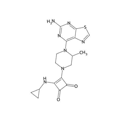 CC1CN(c2c(NC3CC3)c(=O)c2=O)CCN1c1nc(N)nc2scnc12